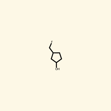 OC1CCC(CF)C1